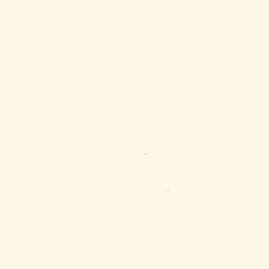 CC1=CCC(C2CC=C(CCC3COC(CCC4OCC(C)CO4)OC3)CC2)CC1